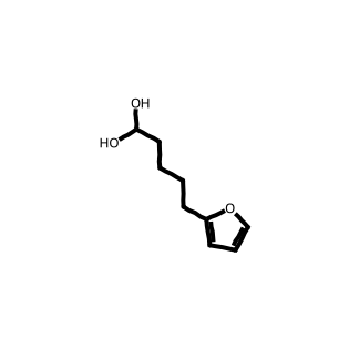 OC(O)CCCCc1ccco1